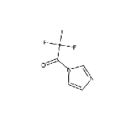 CC(F)(F)C(=O)n1ccnc1